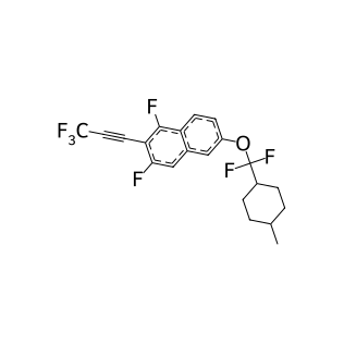 CC1CCC(C(F)(F)Oc2ccc3c(F)c(C#CC(F)(F)F)c(F)cc3c2)CC1